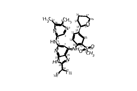 Cc1ncc(Nc2cc(Nc3ccc([C@H]4CCCCO4)cc3S(C)(=O)=O)c3nc(C(F)F)[nH]c3n2)nc1C